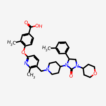 Cc1cccc(C2CN(C3CCOCC3)C(=O)N2C2CCN(Cc3ccc(Oc4ccc(C(=O)O)cc4C)nc3C)CC2)c1